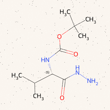 CC(C)[C@H](NC(=O)OC(C)(C)C)C(=O)NN